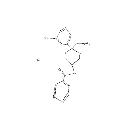 Cl.NCC1(c2cccc(Cl)c2)CCC(NC(=O)c2cnccn2)CC1